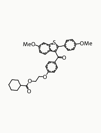 COc1ccc(-c2sc3cc(OC)ccc3c2C(=O)c2ccc(OCCOC(=O)C3CCCCC3)cc2)cc1